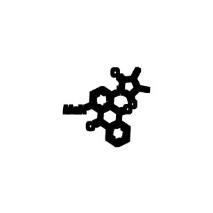 CNc1ccc(N2C(=O)C(C)C(C)C2=O)c2c1C(=O)c1ccccc1C2=O